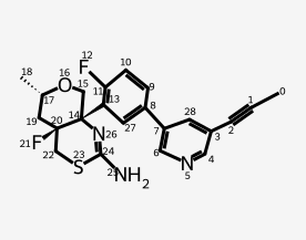 CC#Cc1cncc(-c2ccc(F)c([C@]34CO[C@@H](C)C[C@@]3(F)CSC(N)=N4)c2)c1